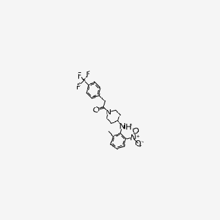 Cc1cccc([N+](=O)[O-])c1NC1CCN(C(=O)Cc2ccc(C(F)(F)F)cc2)CC1